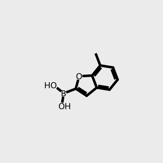 Cc1cccc2cc(B(O)O)oc12